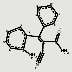 N#C/C(C(N)=O)=C(/c1ccccc1)c1ccccc1N